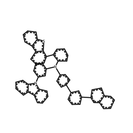 c1cc(-c2ccc(N(c3cccc(-n4c5ccccc5c5ccccc54)c3)c3ccccc3-c3cccc4c3sc3ccccc34)cc2)cc(-c2ccc3ccccc3c2)c1